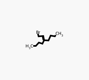 CCCCC(=CCBr)CCCC